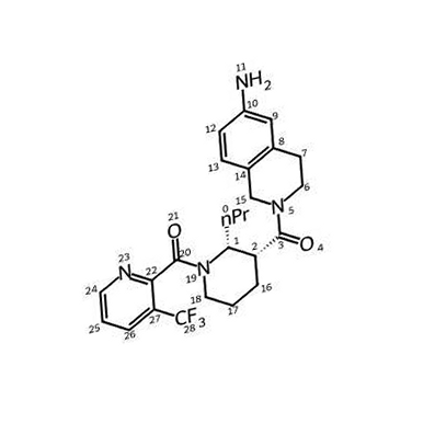 CCC[C@@H]1[C@H](C(=O)N2CCc3cc(N)ccc3C2)CCCN1C(=O)c1ncccc1C(F)(F)F